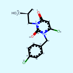 C[C@@H](Cn1c(=O)cc(Cl)n(Cc2ccc(Cl)cc2)c1=O)C(=O)O